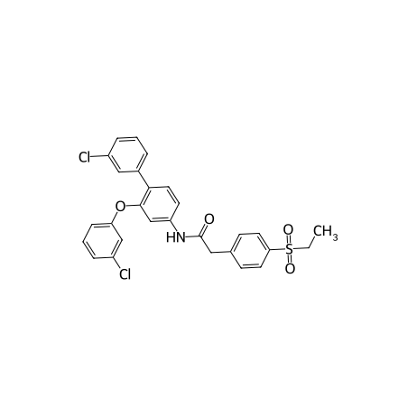 CCS(=O)(=O)c1ccc(CC(=O)Nc2ccc(-c3cccc(Cl)c3)c(Oc3cccc(Cl)c3)c2)cc1